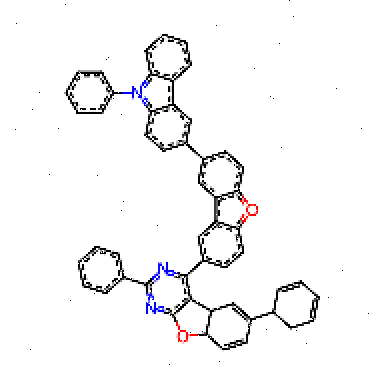 C1=CCC(C2=CC3c4c(nc(-c5ccccc5)nc4-c4ccc5oc6ccc(-c7ccc8c(c7)c7ccccc7n8-c7ccccc7)cc6c5c4)OC3C=C2)C=C1